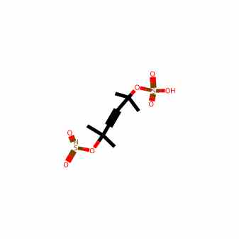 CC(C)(C#CC(C)(C)OS(=O)(=O)O)O[SH](=O)=O